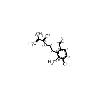 C=C(C)C(=O)OCCc1c(C=O)ccc(C)c1C